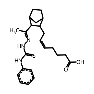 CC(=NNC(=S)Nc1ccccc1)C1C2CCC(C2)C1C/C=C\CCCC(=O)O